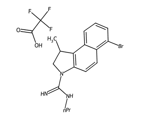 CCCNC(=N)N1CC(C)c2c1ccc1c(Br)cccc21.O=C(O)C(F)(F)F